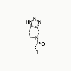 O=C(CI)N1CCc2[nH]nnc2C1